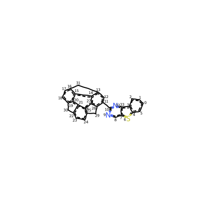 c1ccc2c(c1)sc1cnc(-c3cc4c5c6c(ccc7c6c6c(ccc8c6c5c3C8)C7)C4)nc12